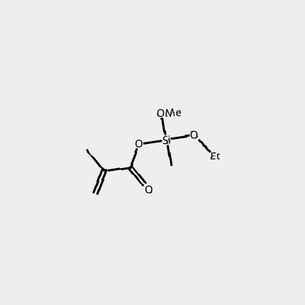 C=C(C)C(=O)O[Si](C)(OC)OCC